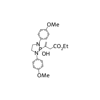 C=C(CC(=O)OCC)[P]1(O)N(c2ccc(OC)cc2)CCN1c1ccc(OC)cc1